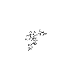 Cc1[nH]c(=O)c(Br)c(OCc2ccc(F)cc2F)c1-c1ccc(C(=O)NCCO)o1